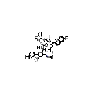 C[C@H](NC(=O)[C@@H]1C[C@@H](F)CN1C(=O)CNC(=O)c1ccc2cc(F)ccc2n1)c1cc(C2=CCCNC2)c(Cl)cc1/C=C/C1CC1.Cl